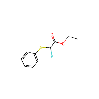 CCOC(=O)C(F)Sc1ccccc1